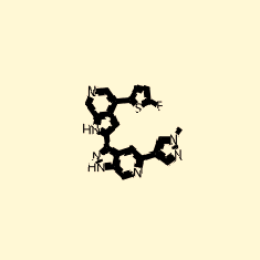 Cn1cc(-c2cc3c(-c4cc5c(-c6ccc(F)s6)cncc5[nH]4)n[nH]c3cn2)cn1